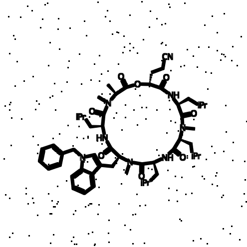 CC(C)C[C@@H]1NC(=O)[C@H](Cc2cn(Cc3ccccc3)c3ccccc23)N(C)C(=O)[C@H](CC(C)C)NC(=O)[C@H](CC(C)C)N(C)C(=O)[C@H](CC(C)C)NC(=O)[C@@H](CCC#N)OC(=O)[C@H](C)N(C)C1=O